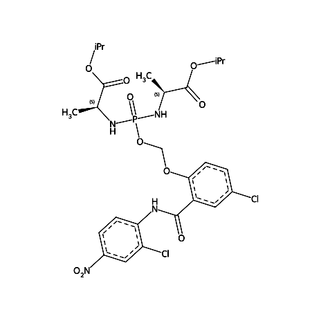 CC(C)OC(=O)[C@H](C)NP(=O)(N[C@@H](C)C(=O)OC(C)C)OCOc1ccc(Cl)cc1C(=O)Nc1ccc([N+](=O)[O-])cc1Cl